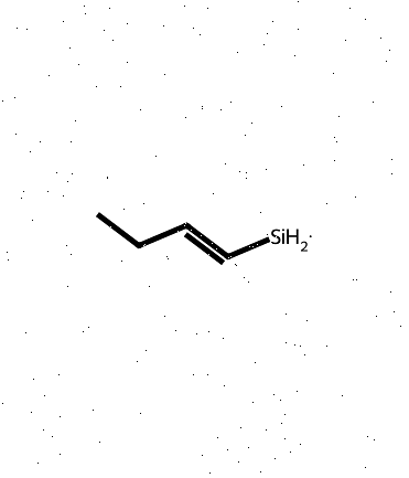 CC/C=C/[SiH2]